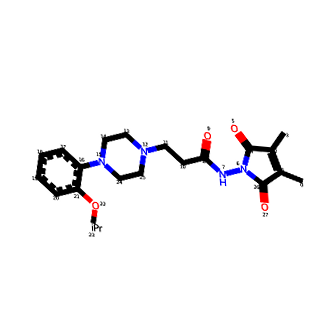 CC1=C(C)C(=O)N(NC(=O)CCN2CCN(c3ccccc3OC(C)C)CC2)C1=O